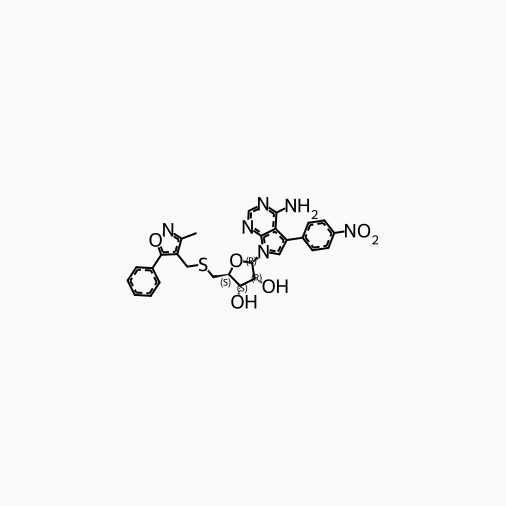 Cc1noc(-c2ccccc2)c1CSC[C@H]1O[C@@H](n2cc(-c3ccc([N+](=O)[O-])cc3)c3c(N)ncnc32)[C@H](O)[C@@H]1O